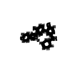 NC1(CNc2nc(-c3cc(NC4CCCCC4)ncc3Cl)ccc2F)CCOCC1